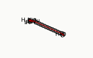 CCCCc1nc2c(N)nnc(OC(C)C)c2n1C[C@H]1CC[C@H](CNC(=O)CCOCCOCCOCCOCCOCCOCCOCCOCCOCCOCCOCCOCCOCCOCCOCCOCCOCCOCCOCCOCCNC(=O)CCN2C(=O)C=CC2=O)CC1